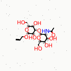 C=CCO[C@@H]1O[C@H](CO)[C@H](O)[C@H](O[C@@H]2O[C@H](CO)[C@@H](O)[C@H](O)[C@H]2NC(C)=O)[C@H]1O